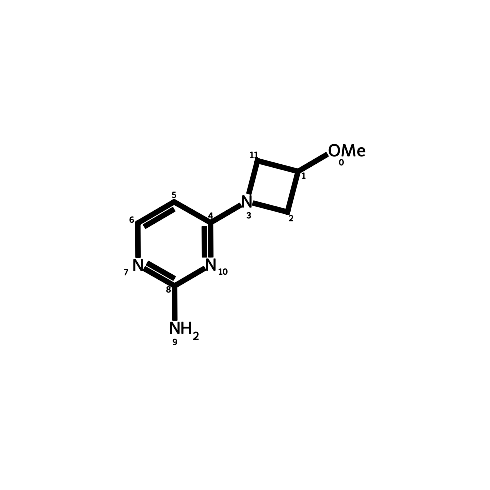 COC1CN(c2ccnc(N)n2)C1